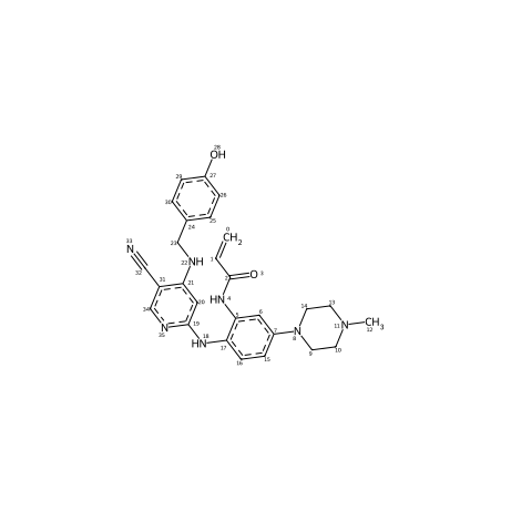 C=CC(=O)Nc1cc(N2CCN(C)CC2)ccc1Nc1cc(NCc2ccc(O)cc2)c(C#N)cn1